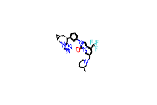 C[C@H]1CCCN(Cc2cc(C(F)(F)F)c3cn(-c4cccc([C@H](CC5CC5)c5nncn5C)c4)c(=O)n3c2)C1